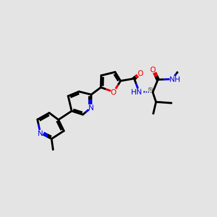 CNC(=O)[C@@H](NC(=O)c1ccc(-c2ccc(-c3ccnc(C)c3)cn2)o1)C(C)C